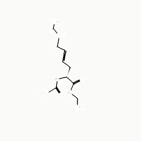 CCNC(=O)[C@H](C/C=C/COCC)NC(C)=O